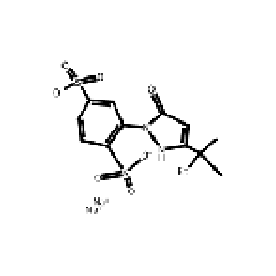 CCC(C)(C)c1cc(=O)n(-c2cc(S(=O)(=O)[O-])ccc2S(=O)(=O)[O-])[nH]1.[Na+].[Na+]